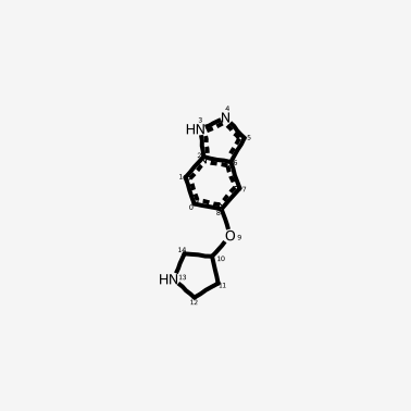 c1cc2[nH]ncc2cc1OC1CCNC1